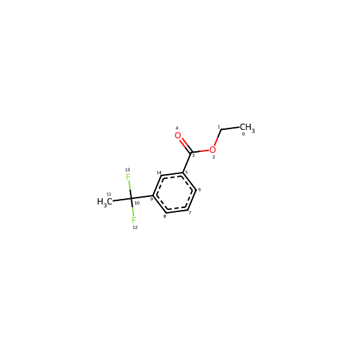 CCOC(=O)c1cccc(C(C)(F)F)c1